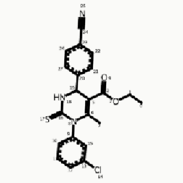 CCOC(=O)C1=C(C)N(c2cccc(Cl)c2)C(=S)NC1c1ccc(C#N)cc1